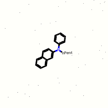 CCCCCN(c1[c]cc2ccccc2c1)c1ccccc1